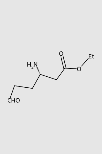 CCOC(=O)C[C@@H](N)CCC=O